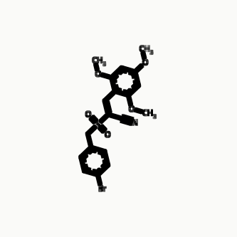 COc1cc(OC)c(C=C(C#N)S(=O)(=O)Cc2ccc(Br)cc2)c(OC)c1